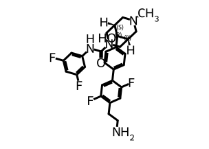 CN1C[C@@H]2CN(C(=O)Nc3cc(F)cc(F)c3)C[C@H](C1)[C@]2(O)c1ccc(-c2cc(F)c(CCN)cc2F)cc1